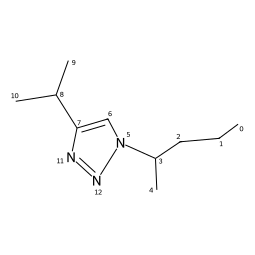 CCCC(C)n1cc(C(C)C)nn1